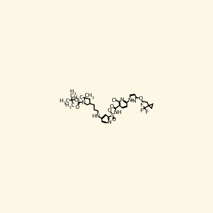 CC(C)(C)OC(=O)N1CC(CCCNc2ccnc(S(=O)(=O)NC(=O)c3ccc(-n4ccc(OCCC5(C(F)(F)F)CC5)n4)nc3Cl)c2)CC1(C)C